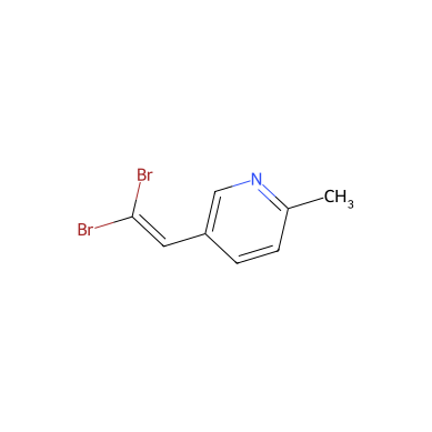 Cc1ccc(C=C(Br)Br)cn1